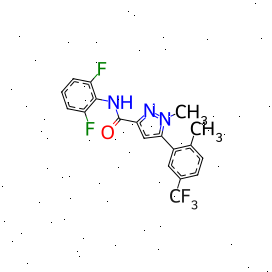 Cc1ccc(C(F)(F)F)cc1-c1cc(C(=O)Nc2c(F)cccc2F)nn1C